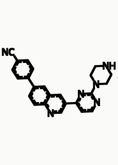 N#Cc1ccc(-c2ccc3ncc(-c4ccnc(N5CCNCC5)n4)cc3c2)cc1